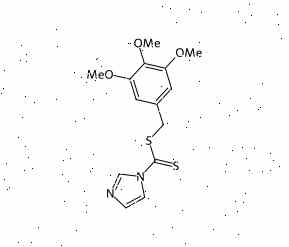 COc1cc(CSC(=S)n2ccnc2)cc(OC)c1OC